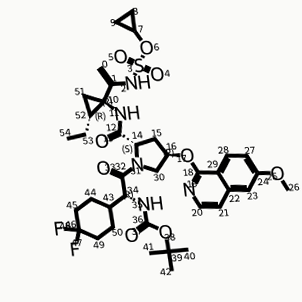 C=C(NS(=O)(=O)OC1CC1)[C@@]1(NC(=O)[C@@H]2C[C@@H](Oc3nccc4cc(OC)ccc34)CN2C(=O)[C@H](NC(=O)OC(C)(C)C)C2CCC(F)(F)CC2)C[C@H]1CC